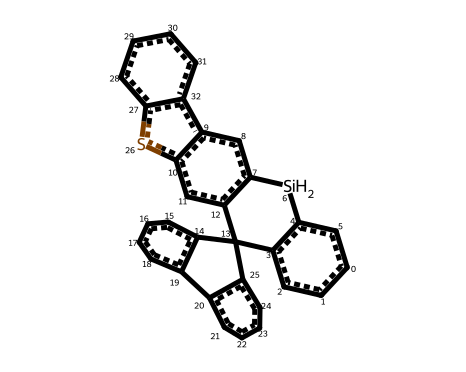 c1ccc2c(c1)[SiH2]c1cc3c(cc1C21c2ccccc2-c2ccccc21)sc1ccccc13